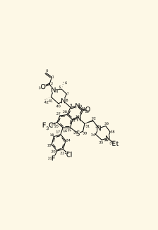 C=CC(=O)N1[C@H](C)CN(c2nc(=O)n3c4c(c(-c5ccc(F)c(Cl)c5)c(C(F)(F)F)cc24)SC[C@@H]3CN2CCN(CC)CC2)C[C@@H]1C